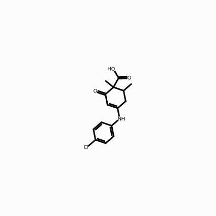 CC1CC(Nc2ccc(Cl)cc2)=CC(=O)C1(C)C(=O)O